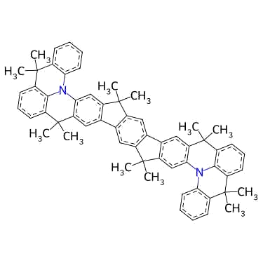 CC1(C)c2cc3c(cc2-c2cc4c(cc21)N1c2ccccc2C(C)(C)c2cccc(c21)C4(C)C)C(C)(C)c1cc2c(cc1-3)C(C)(C)c1cccc3c1N2c1ccccc1C3(C)C